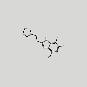 Cc1nc(Cl)c2cc(CCN3CCCC3)[nH]c2c1C